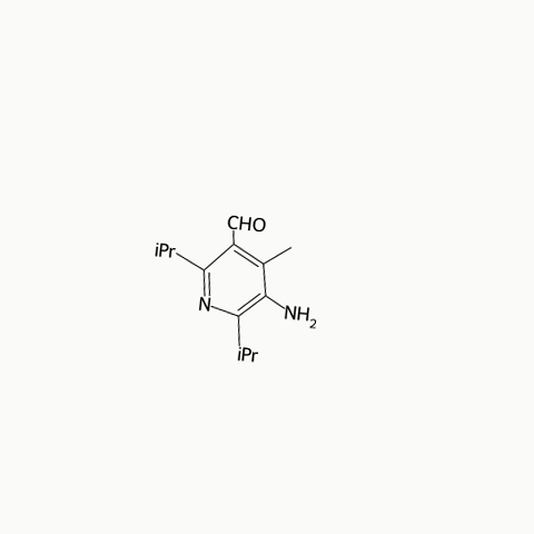 Cc1c(N)c(C(C)C)nc(C(C)C)c1C=O